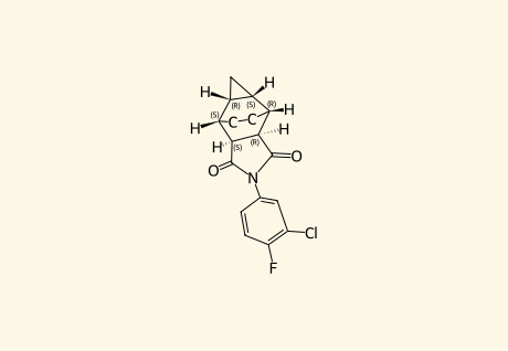 O=C1[C@@H]2[C@@H]3CC[C@@H]([C@@H]4C[C@@H]43)[C@@H]2C(=O)N1c1ccc(F)c(Cl)c1